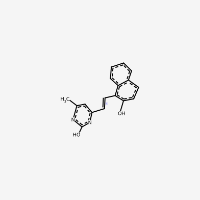 Cc1cc(/C=C/c2c(O)ccc3ccccc23)nc(O)n1